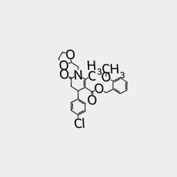 COc1ccccc1COC(=O)C1=C(C)N(CC2OCCO2)C(=O)CC1c1ccc(Cl)cc1